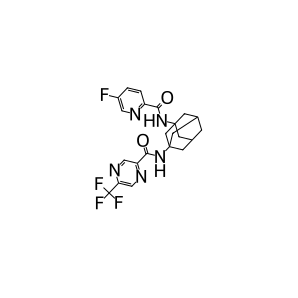 O=C(NC12CC3CC(C1)CC(NC(=O)c1cnc(C(F)(F)F)cn1)(C3)C2)c1ccc(F)cn1